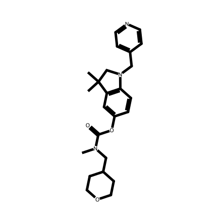 CN(CC1CCOCC1)C(=O)Oc1ccc2c(c1)C(C)(C)CN2Cc1ccncc1